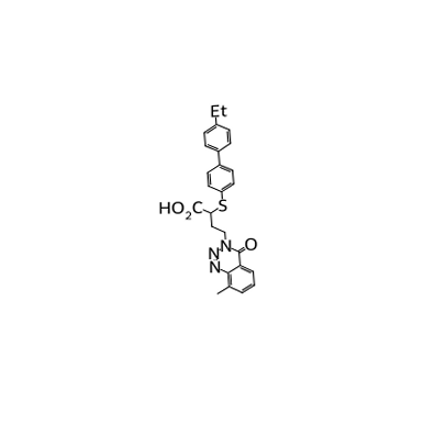 CCc1ccc(-c2ccc(SC(CCn3nnc4c(C)cccc4c3=O)C(=O)O)cc2)cc1